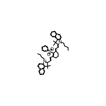 CCCCN1/C(=C/C=C2\CCCC(/C=C/C3N(CCCC)c4ccc5ccccc5c4C3(C)C)=C2S(=O)(=O)c2ccccc2)C(C)(C)c2c1ccc1ccccc21